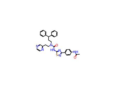 CC(=O)Nc1ccc(-c2nsc(NC(=O)N(CCc3cnccn3)CCC(c3ccccc3)c3ccccc3)n2)cc1